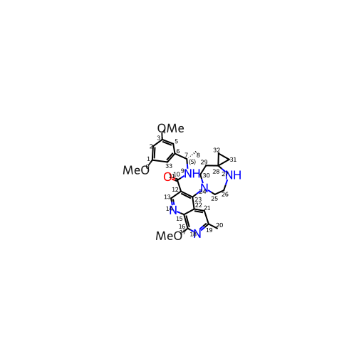 COc1cc(OC)cc([C@H](C)NC(=O)c2cnc3c(OC)nc(C)cc3c2N2CCNC3(CC2)CC3)c1